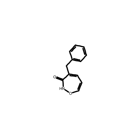 O=C1NOC=CC=C1Cc1ccccc1